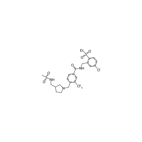 CCS(=O)(=O)c1ccc(Cl)cc1CNC(=O)c1ccc(CN2CCC(CNS(C)(=O)=O)C2)c(C(F)(F)F)c1